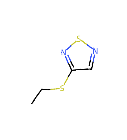 CCSc1cnsn1